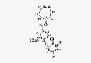 Cc1cc(C)c(Oc2cc(CSC3CCCCCCC3)cc(C(C)(C)C)c2)c(C)c1